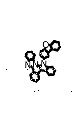 c1ccc2c(c1)nc1c3ccccc3c3c4ccccc4n(-c4ccc5oc6ccccc6c5c4)c3n21